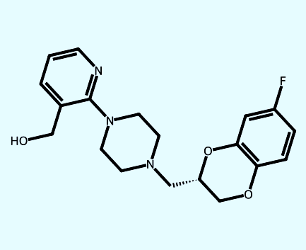 OCc1cccnc1N1CCN(C[C@H]2COc3ccc(F)cc3O2)CC1